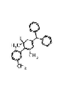 CC1=C(c2cccc(C)c2)C(C)(I)CC(C(c2ccccc2)c2ccccc2)=C1